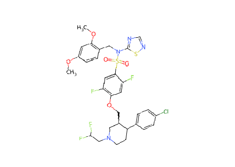 COc1ccc(CN(c2ncns2)S(=O)(=O)c2cc(F)c(OC[C@@H]3CN(CC(F)F)CCC3c3ccc(Cl)cc3)cc2F)c(OC)c1